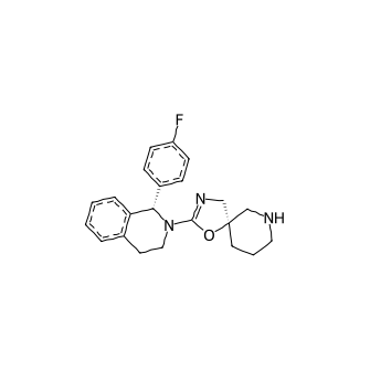 Fc1ccc([C@H]2c3ccccc3CCN2C2=NC[C@]3(CCCNC3)O2)cc1